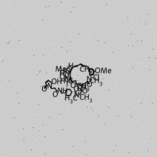 COc1cc2cc(c1Cl)N(C)C(=O)C[C@H](OC(=O)[C@H](C)N(C)C(=O)[C@H]1CC[C@H](CNC(=O)CCN3C(=O)C=CC3O)CC1)[C@@]1(C)CC(C)(O1)[C@@H]1C[C@@](O)(NC(=O)O1)[C@H](OC)/C=C/C=C(\C)C2